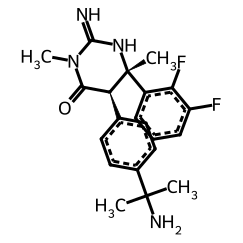 CN1C(=N)N[C@](C)(c2cccc(F)c2F)[C@@H](c2ccc(C(C)(C)N)cc2)C1=O